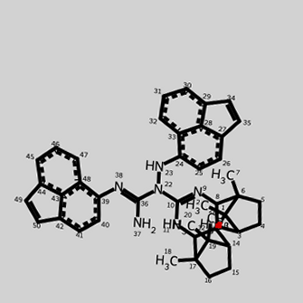 CC1(C)C2CCC1(C)C(N=C(NC1CC3CCC1(C)C3(C)C)N(Nc1ccc3c4c(cccc14)C=C3)C(N)=Nc1ccc3c4c(cccc14)C=C3)C2